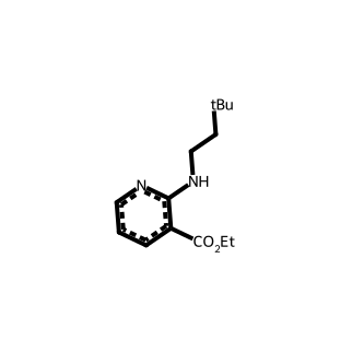 CCOC(=O)c1cccnc1NCCC(C)(C)C